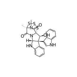 CN1C(=O)[C@]23SSS[C@]1(C)C(=O)N2[C@H]1Nc2ccccc2[C@@]1(c1c[nH]c2ccccc12)[C@@H]3O